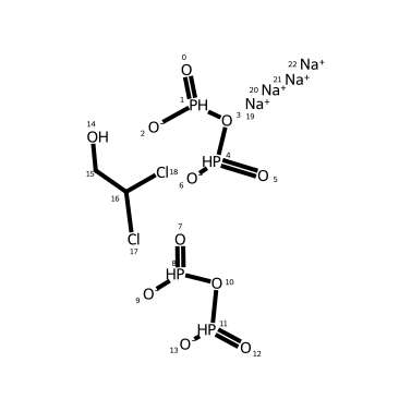 O=[PH]([O-])O[PH](=O)[O-].O=[PH]([O-])O[PH](=O)[O-].OCC(Cl)Cl.[Na+].[Na+].[Na+].[Na+]